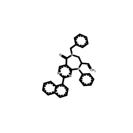 C=CC1CN(Cc2ccccc2)C(=O)c2cnc(-c3cccc4ccccc34)nc2N1c1ccccc1